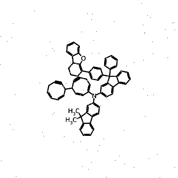 CC1(C)c2ccccc2-c2ccc(N(C3=C/CC#CC(C4C#CC/C=C\C=C/4)/C=C\3)c3ccc4c(c3)C(c3ccccc3)(c3ccc(C5=C6Oc7ccccc7C6CCC5)cc3)c3ccccc3-4)cc21